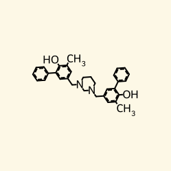 Cc1cc(CN2CCCN(Cc3cc(C)c(O)c(-c4ccccc4)c3)C2)cc(-c2ccccc2)c1O